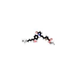 CCCCCC(O)c1ccc(N2C(=O)CCC2C=CCc2ccc(C(=O)OC)s2)cc1